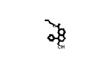 C=C(OCCCC)c1ccc2c(c1)C(c1ccccc1)=C(CO)CC2